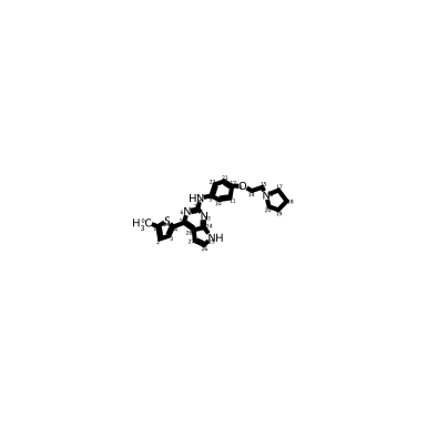 Cc1ccc(-c2nc(Nc3ccc(OCCN4CCCC4)cc3)nc3[nH]ccc23)s1